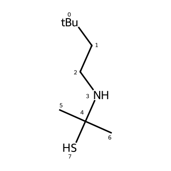 CC(C)(C)CCNC(C)(C)S